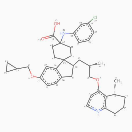 C[C@@H](COc1ccnc2c1[C@H](C)CCC2)CC1Cc2ccc(OCC3CC3)cc2C12CCC(Nc1cccc(Cl)c1)(C(=O)O)CC2